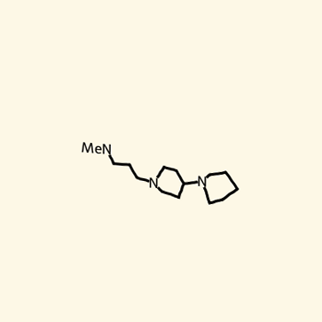 CNCCCN1CCC(N2CCCCC2)CC1